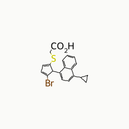 O=C(O)CSC1=CC=C(Br)C1c1ccc(C2CC2)c2ccccc12